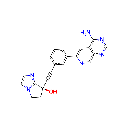 Nc1ncnc2cnc(-c3cccc(C#C[C@]4(O)CCn5ccnc54)c3)cc12